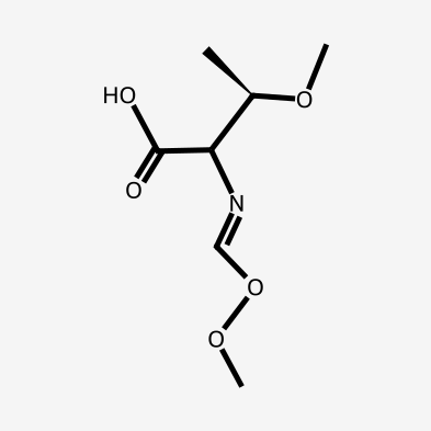 COO/C=N/C(C(=O)O)[C@@H](C)OC